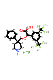 Cl.O=C(O)C(OCC1(c2ccccc2)CCNCC1)c1cc(C(F)(F)F)cc(C(F)(F)F)c1